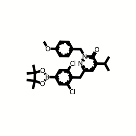 COc1ccc(Cn2nc(Cc3c(Cl)cc(B4OC(C)(C)C(C)(C)O4)cc3Cl)cc(C(C)C)c2=O)cc1